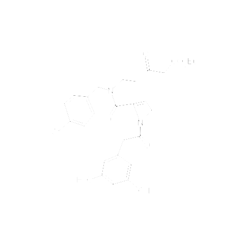 CCOC(=O)CC(=O)CCN(Cc1ccc(Cl)cc1)C(=O)C1=CCN1C(=O)Cc1cc(C)cc(C)c1